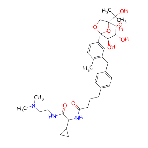 Cc1ccc([C@]23OC[C@](C(C)(C)O)(O2)[C@@H](O)[C@H](O)[C@H]3O)cc1Cc1ccc(CCCC(=O)NC(C(=O)NCCN(C)C)C2CC2)cc1